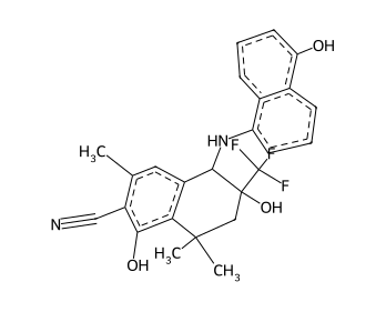 Cc1cc2c(c(O)c1C#N)C(C)(C)CC(O)(C(F)(F)F)C2Nc1cccc2c(O)cccc12